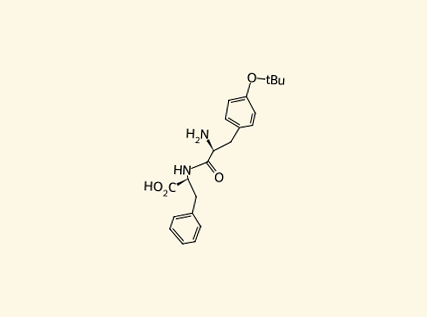 CC(C)(C)Oc1ccc(C[C@H](N)C(=O)N[C@@H](Cc2ccccc2)C(=O)O)cc1